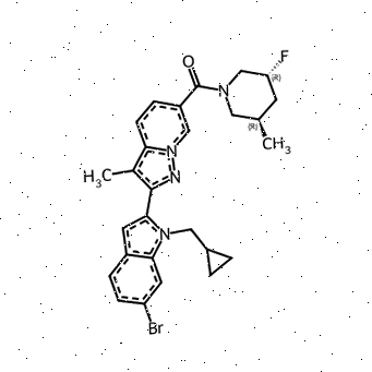 Cc1c(-c2cc3ccc(Br)cc3n2CC2CC2)nn2cc(C(=O)N3C[C@H](C)C[C@@H](F)C3)ccc12